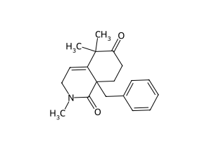 CN1CC=C2C(C)(C)C(=O)CCC2(Cc2ccccc2)C1=O